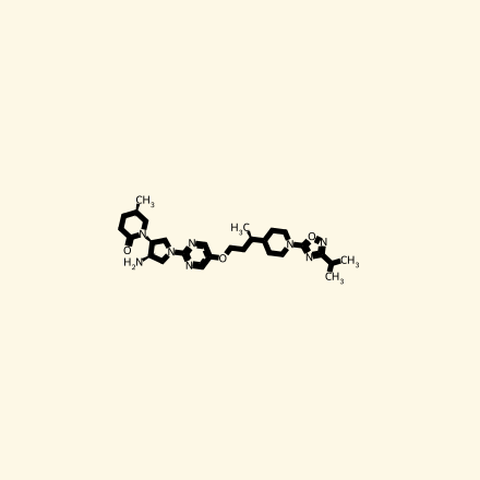 CC(C)c1noc(N2CCC([C@H](C)CCOc3cnc(N4C[C@@H](N)[C@@H](N5C[C@H](C)CCC5=O)C4)nc3)CC2)n1